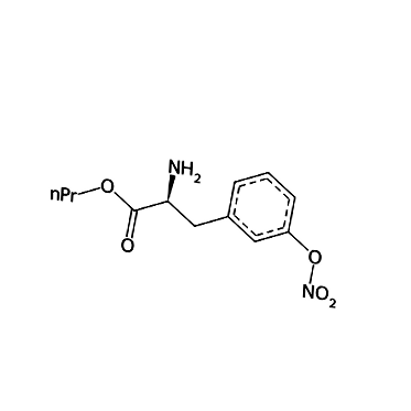 CCCOC(=O)[C@@H](N)Cc1cccc(O[N+](=O)[O-])c1